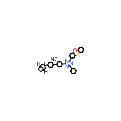 CC1(c2ccc(-c3ccc(-c4nc(-c5ccccc5)nc(-c5ccc6c(c5)Sc5ccccc5O6)n4)cc3C#N)cc2)C[C@@H]2CC[C@@H](C2)C1